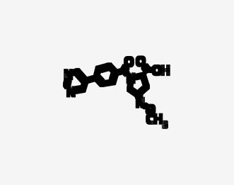 CO/N=C1\C[C@@H](C(=O)O)N(C(=O)c2ccc(-c3cncnc3)cc2)C1